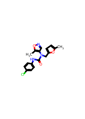 Cc1ccc(CN(C(=O)Nc2ccc(Cl)cc2)c2cnoc2C)o1